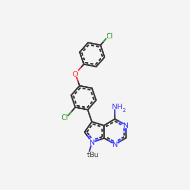 CC(C)(C)n1cc(-c2ccc(Oc3ccc(Cl)cc3)cc2Cl)c2c(N)ncnc21